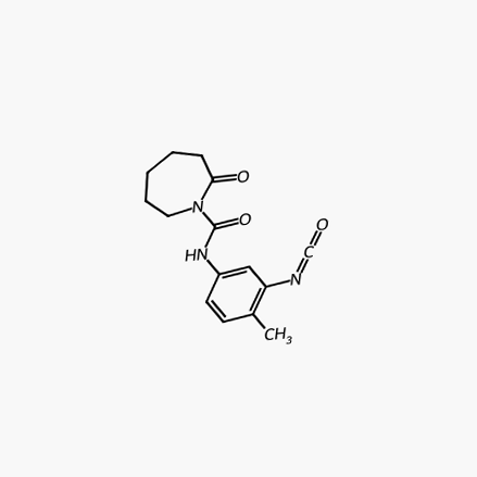 Cc1ccc(NC(=O)N2CCCCCC2=O)cc1N=C=O